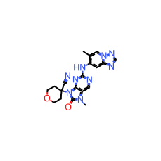 Cc1cn2ncnc2cc1Nc1ncc2c(n1)n(C1(C#N)CCOCC1)c(=O)n2C